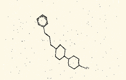 CCCC1CCC(C2CCC(CCCc3ccccc3)CC2)CC1